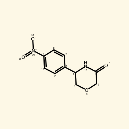 O=C1COCC(c2ccc([N+](=O)[O-])cc2)N1